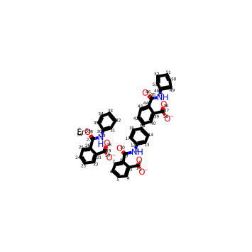 O=C([O-])c1ccccc1C(=O)Nc1ccccc1.O=C([O-])c1ccccc1C(=O)Nc1ccccc1.O=C([O-])c1ccccc1C(=O)Nc1ccccc1.[Er+3]